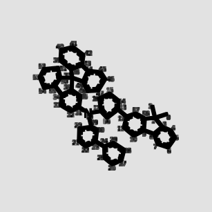 CC1(C)c2ccccc2-c2ccc(-c3cccc(N(c4cccc(-c5ccccc5)c4)c4ccc5c(c4)C4(c6ccccc6-c6ccccc64)c4ccccc4-5)c3)cc21